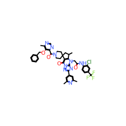 Cc1cc(-c2nc3n(CC(=O)Nc4ccc(C(F)(F)F)cc4Cl)c4c(c(=O)n3n2)C2(CCN(C(=O)c3ncnc(C)c3OCc3ccccc3)CC2)CC4C)cc(C)n1